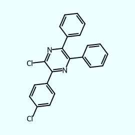 Clc1ccc(-c2nc(-c3ccccc3)c(-c3ccccc3)nc2Cl)cc1